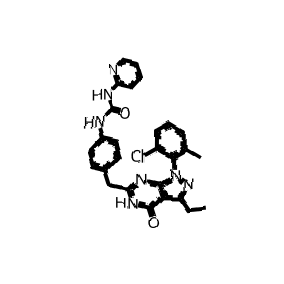 CCc1nn(-c2c(C)cccc2Cl)c2nc(Cc3ccc(NC(=O)Nc4ccccn4)cc3)[nH]c(=O)c12